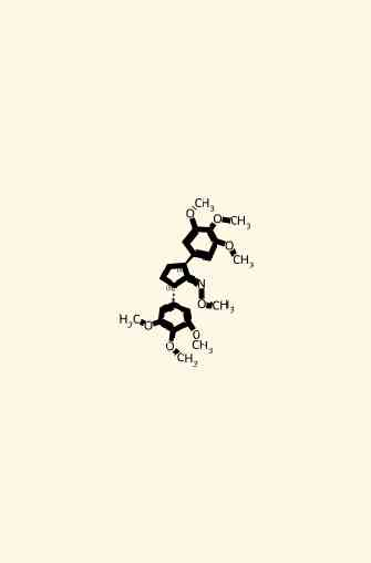 CON=C1[C@H](c2cc(OC)c(OC)c(OC)c2)CC[C@H]1c1cc(OC)c(OC)c(OC)c1